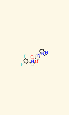 O=C1N2C(CCC2c2cc(F)cc(F)c2)OC12CCN(c1cccc3nccn13)CC2